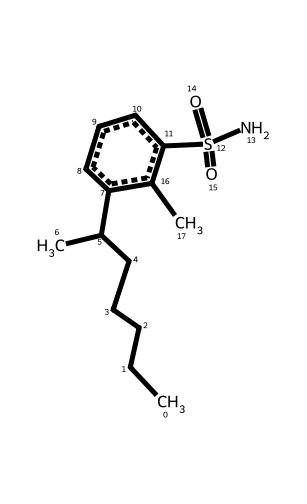 CCCCCC(C)c1cccc(S(N)(=O)=O)c1C